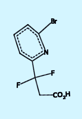 O=C(O)CC(F)(F)c1cccc(Br)n1